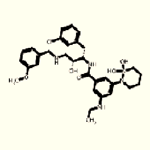 CCNc1cc(C(=O)N[C@@H](Cc2cccc(Cl)c2)[C@H](O)CNCc2cccc(OC)c2)cc(N2CCCCS2(O)O)c1